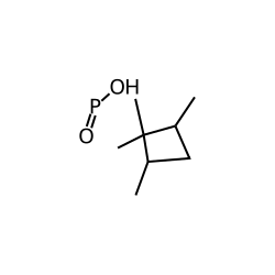 CC1CC(C)C1(C)C.O=PO